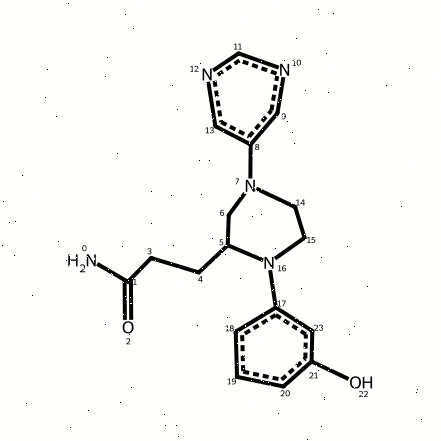 NC(=O)CCC1CN(c2cncnc2)CCN1c1cccc(O)c1